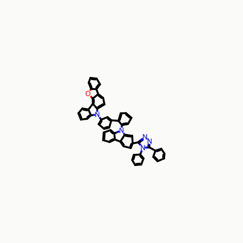 c1ccc(-c2nnc(-c3ccc4c5ccccc5n(-c5ccccc5-c5cccc(-n6c7ccccc7c7c8oc9ccccc9c8ccc76)c5)c4c3)n2-c2ccccc2)cc1